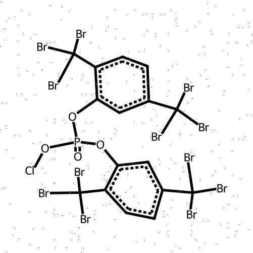 O=P(OCl)(Oc1cc(C(Br)(Br)Br)ccc1C(Br)(Br)Br)Oc1cc(C(Br)(Br)Br)ccc1C(Br)(Br)Br